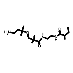 CCC(C)C(=O)NCCNC(=O)C(C)(C)COC(C)(C)CCN